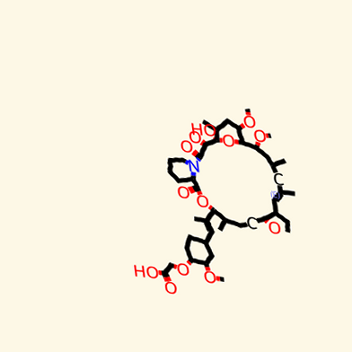 CCC1/C=C(\C)CC(C)CC(OC)C2OC(O)(C(=O)C(=O)N3CCCCC3C(=O)OC(C(C)=CC3CCC(OCC(=O)O)C(OC)C3)C(C)CCC1=O)C(C)CC2OC